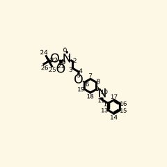 CN(CCCO[C@H]1CC[C@H](/N=C/c2ccccc2)CC1)C(=O)OC(C)(C)C